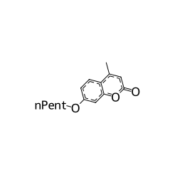 CCCCCOc1ccc2c(C)cc(=O)oc2c1